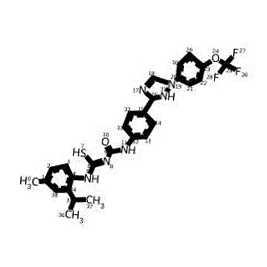 Cc1ccc(N/C(S)=N/C(=O)Nc2ccc(C3N=CN(c4ccc(OC(F)(F)F)cc4)N3)cc2)c(C(C)C)c1